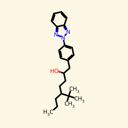 CCCC(CCC(O)Cc1ccc(-n2nc3ccccc3n2)cc1)C(C)(C)C